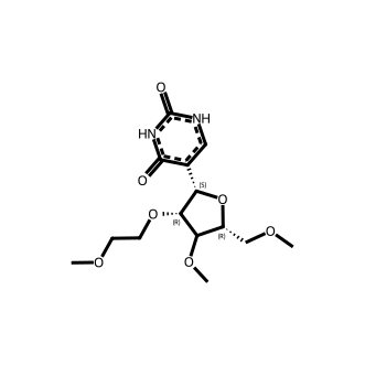 COCCO[C@H]1C(OC)[C@@H](COC)O[C@H]1c1c[nH]c(=O)[nH]c1=O